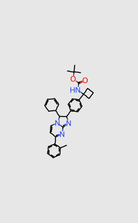 Cc1ccccc1C1=NC2=NC(c3ccc(C4(NC(=O)OC(C)(C)C)CCC4)cc3)C(C3C=CC=CC3)N2C=C1